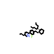 CCCCC(CCC)[C@@H]1CCCC[C@H]1CCc1ccc(-c2ccc(CCC)cn2)c(F)c1